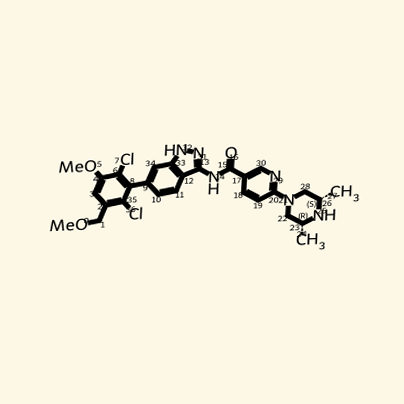 COCc1cc(OC)c(Cl)c(-c2ccc3c(NC(=O)c4ccc(N5C[C@@H](C)N[C@@H](C)C5)nc4)n[nH]c3c2)c1Cl